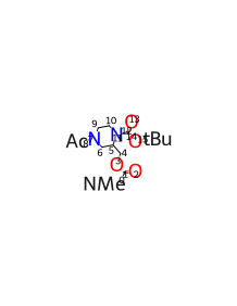 CNC(=O)OCC1CN(C(C)=O)CCN1C(=O)OC(C)(C)C